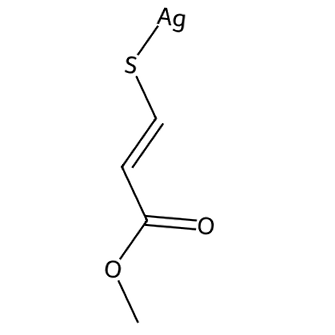 COC(=O)C=C[S][Ag]